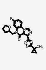 CC1(c2noc(C3N=CN4c5ccc(F)cc5N(CC5CCCO5)C(=O)C34)n2)CC1